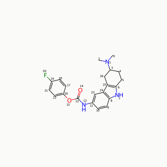 CN(C)C1CCc2[nH]c3ccc(NC(=O)Oc4ccc(F)cc4)cc3c2C1